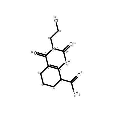 NC(=O)C1CCCc2c1[nH]c(=O)n(CCCl)c2=O